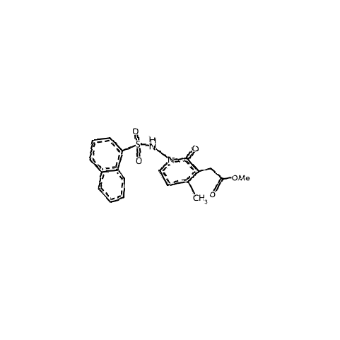 COC(=O)Cc1c(C)ccn(NS(=O)(=O)c2cccc3ccccc23)c1=O